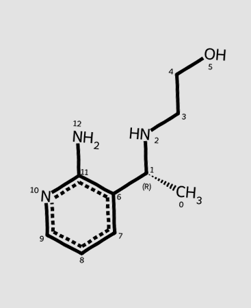 C[C@@H](NCCO)c1cccnc1N